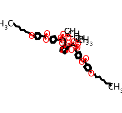 CCCCCCCCOc1ccc(C(=O)Oc2ccc(C(=O)OC(O[C@](OC(=O)c3ccc(OC(=O)c4ccc(OCCCCCCCC)cc4)cc3)(c3ccccc3)C3COC(C)(C)O3)(c3ccccc3)C3COC(C)(C)O3)cc2)cc1